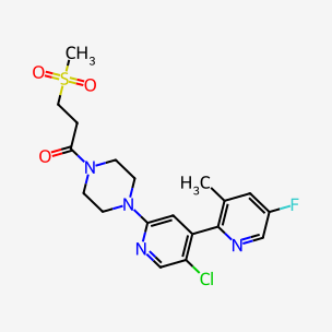 Cc1cc(F)cnc1-c1cc(N2CCN(C(=O)CCS(C)(=O)=O)CC2)ncc1Cl